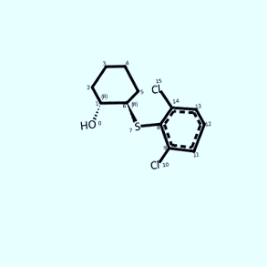 O[C@@H]1CCCC[C@H]1Sc1c(Cl)cccc1Cl